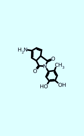 Cc1cc(O)c(O)cc1N1C(=O)C2C=CC(N)=CC2C1=O